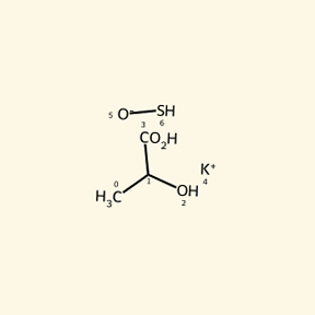 CC(O)C(=O)O.[K+].[O-]S